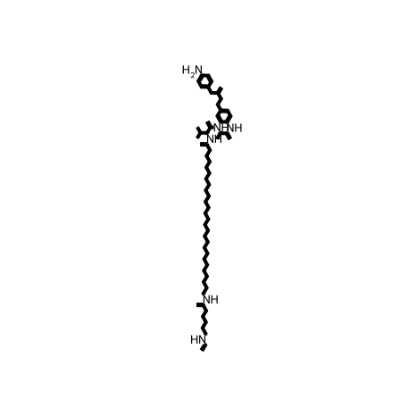 C=CNCCCCCC(=C)NCCCCCCCCCCCCCCCCCCCCCCCCCCC(=C)NC(C(=C)NC(C)C(=C)Nc1ccc(CCC(=C)Cc2ccc(N)cc2)cc1)C(C)C